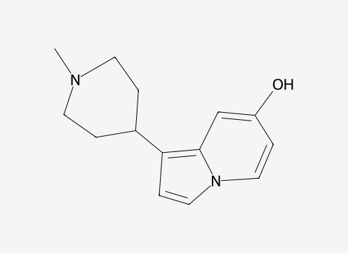 CN1CCC(c2ccn3ccc(O)cc23)CC1